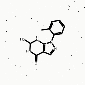 Cc1ccccc1-n1ncc2c1NC(S)NC2=O